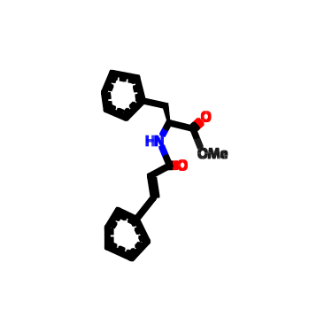 COC(=O)[C@H](Cc1ccccc1)NC(=O)/C=C/c1ccccc1